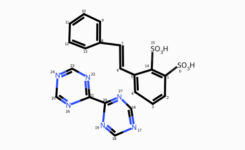 O=S(=O)(O)c1cccc(C=Cc2ccccc2)c1S(=O)(=O)O.c1ncnc(-c2ncncn2)n1